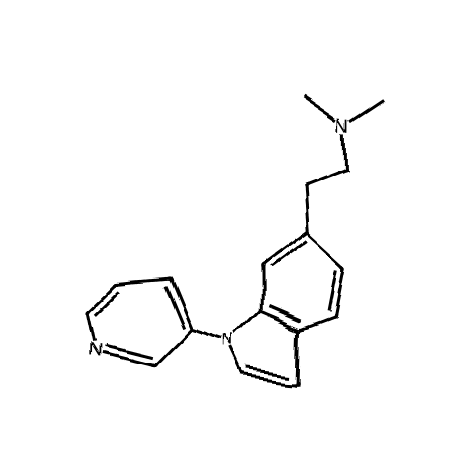 CN(C)CCc1ccc2ccn(-c3cccnc3)c2c1